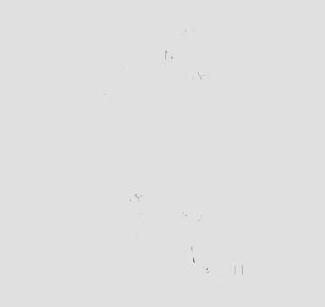 Cc1cc(OC2CN(C(=O)C(C)O)C2)cc(C)c1-c1cccc(COc2ccc3c(c2)OC[C@H]3CC(=O)O)c1